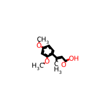 COc1ccc(C(C)=CC(=O)O)c(OC)c1